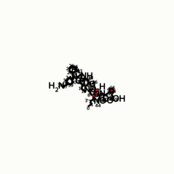 CC[C@H](C)[C@@H]([C@@H](CC(=O)N1CCC[C@H]1[C@H](OC)[C@@H](C)C(=O)N[C@@H](Cc1ccccc1)C(=O)Nc1ccc(CN)cc1)OC)N(C)C(=O)[C@@H](NC(=O)C1C2CC(C2)N1C(=O)O)C(C)C